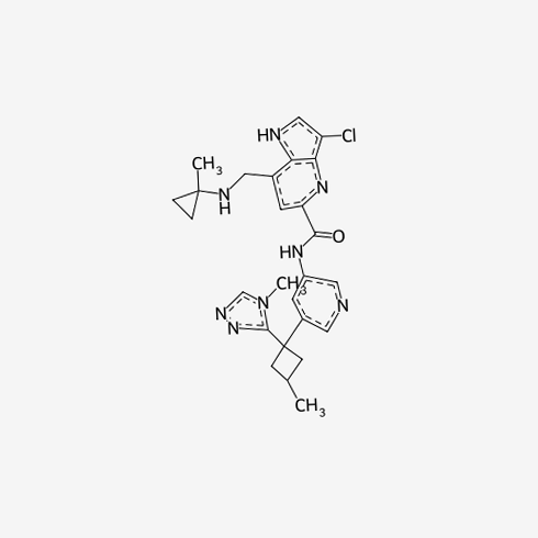 CC1CC(c2cncc(NC(=O)c3cc(CNC4(C)CC4)c4[nH]cc(Cl)c4n3)c2)(c2nncn2C)C1